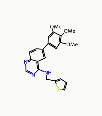 COc1cc(-c2ccc3ncnc(NCc4cccs4)c3c2)cc(OC)c1OC